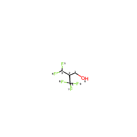 OCC(C(F)F)C(F)(F)F